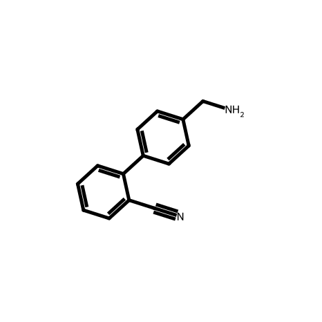 N#Cc1ccccc1-c1ccc(CN)cc1